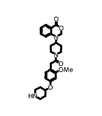 COc1cc(OC2CCNCC2)ccc1CC(=O)N1CCC(N2COC(=O)c3ccccc32)CC1